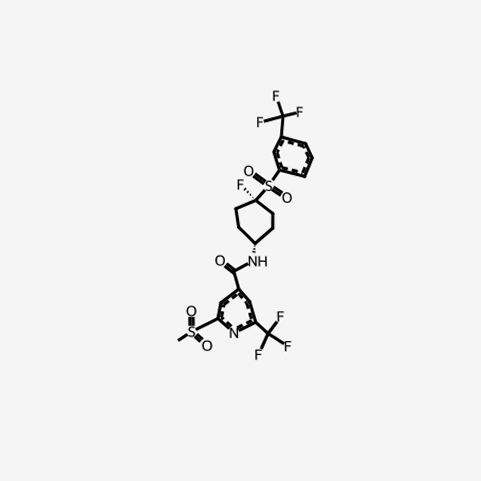 CS(=O)(=O)c1cc(C(=O)N[C@H]2CC[C@](F)(S(=O)(=O)c3cccc(C(F)(F)F)c3)CC2)cc(C(F)(F)F)n1